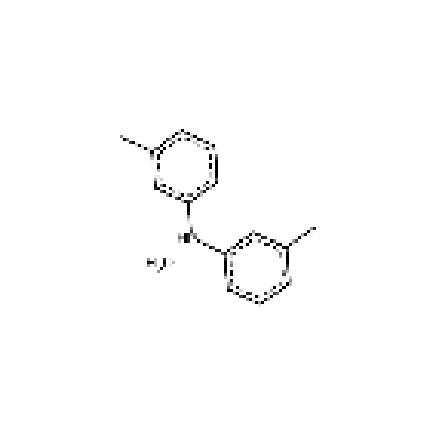 Cc1cccc(Pc2cccc(C)c2)c1.O